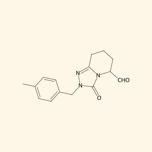 Cc1ccc(Cn2nc3n(c2=O)C(C=O)CCC3)cc1